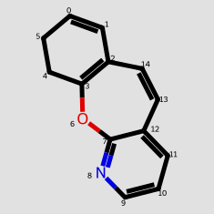 C1=CC2=C(CC1)Oc1ncccc1C=C2